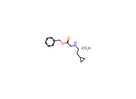 O=C(CN[C@@H](CC1CC1)C(=O)O)OCc1ccccc1